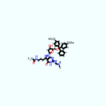 COc1ccc(C(OC[C@H]2O[C@@H](n3nc(CCCNC(=O)C(F)(F)F)c4c(=O)[nH]c(/N=C/N(C)C)nc43)CC2O)(c2ccccc2)c2ccc(OC)cc2)cc1